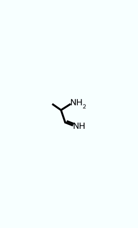 CC(N)C=N